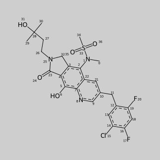 CN(c1c2c(c(O)c3ncc(Cc4cc(Cl)c(F)cc4F)cc13)C(=O)N(CCC(C)(C)O)C2)S(C)(=O)=O